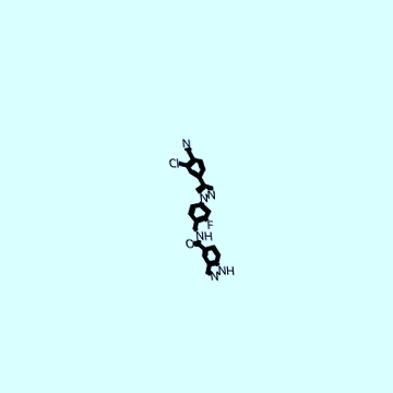 N#Cc1ccc(-c2cnn(-c3ccc(CNC(=O)c4ccc5[nH]ncc5c4)c(F)c3)c2)cc1Cl